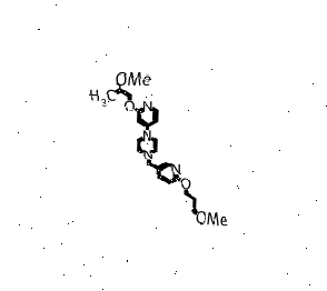 COCCCOc1ccc(CN2CCN(c3ccnc(OC[C@H](C)OC)c3)CC2)cn1